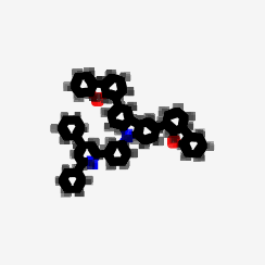 c1ccc(-c2cc(-c3ccccc3)nc(-c3cccc(-n4c5ccc(-c6cccc7c6oc6ccccc67)cc5c5cc(-c6cccc7c6oc6ccccc67)ccc54)c3)c2)cc1